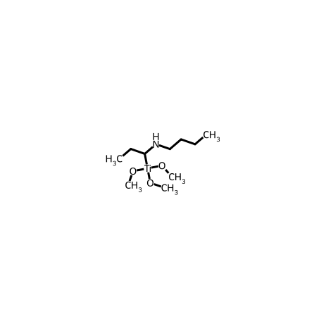 CCCCN[CH](CC)[Ti]([O]C)([O]C)[O]C